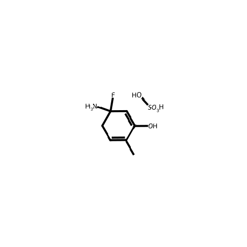 CC1=CCC(N)(F)C=C1O.O=S(=O)(O)O